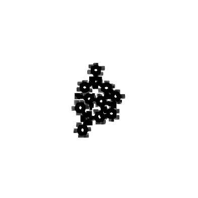 N#Cc1ccc(-c2cc(-n3c4ccccc4c4ccc(-c5nc(-c6ccccc6)nc(-c6ccccc6)n5)cc43)c(C#N)c(-n3c4ccccc4c4ccc(-c5nc(-c6ccccc6)nc(-c6ccccc6)n5)cc43)c2)c(F)c1